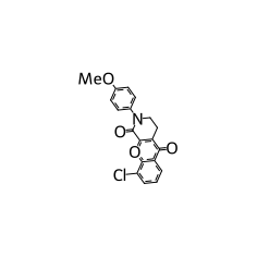 COc1ccc(N2CCc3c(oc4c(Cl)cccc4c3=O)C2=O)cc1